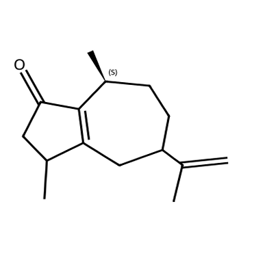 C=C(C)C1CC[C@H](C)C2=C(C1)C(C)CC2=O